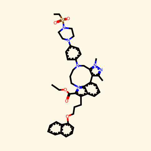 CCOC(=O)c1c(CCCOc2cccc3ccccc23)c2cccc3c2n1CCCN(c1ccc(N2CCN(S(=O)(=O)CC)CC2)cc1)Cc1c-3c(C)nn1C